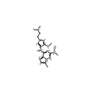 COc1nn(CCN(C)C)cc1Nc1nc([S+](C)[O-])nn2c(C)cnc12